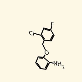 Nc1ccccc1OCc1ccc(F)cc1Cl